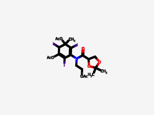 CC(=O)OCCN(C(=O)C1COC(C)(C)O1)C1=C(I)C(C)(OC(C)=O)C(I)C(OC(C)=O)=C1I